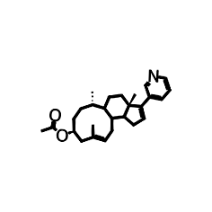 CC(=O)O[C@H]1CC[C@H](C)C2CC[C@]3(C)C(c4cccnc4)=CCC3C2C/C=C(\C)C1